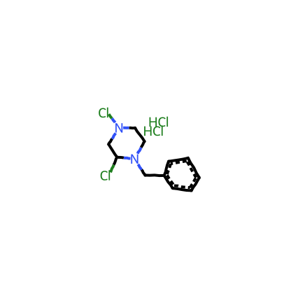 Cl.Cl.ClC1CN(Cl)CCN1Cc1ccccc1